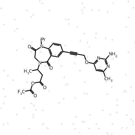 Cc1cc(OCC#Cc2ccc3c(c2)C(=O)N(C(C)CC(=O)OC(=O)C(F)(F)F)CC(=O)N3C(C)C)nc(N)n1